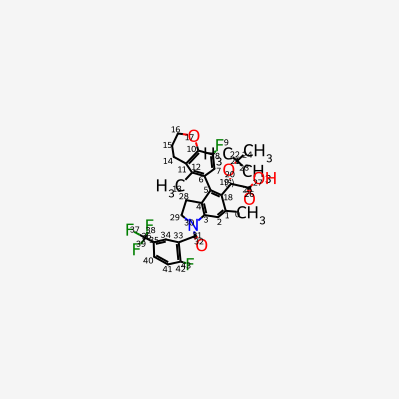 Cc1cc2c(c(-c3cc(F)c4c(c3C)CCCO4)c1[C@H](OC(C)(C)C)C(=O)O)CCN2C(=O)c1cc(C(F)(F)F)ccc1F